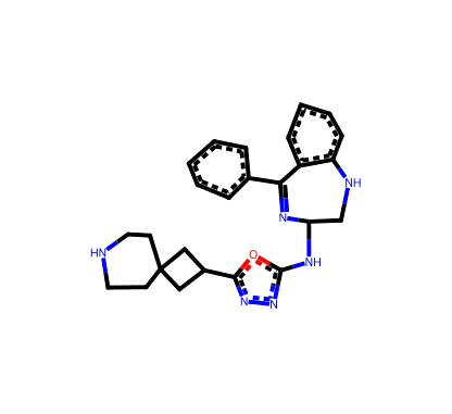 c1ccc(C2=NC(Nc3nnc(C4CC5(CCNCC5)C4)o3)CNc3ccccc32)cc1